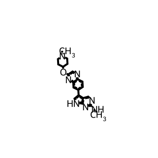 CNc1ncc2c(-c3ccc4ncc(OC5CCN(C)CC5)nc4c3)c[nH]c2n1